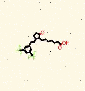 O=C(O)CCCCCCC1C(=O)CCC1/C=C/c1cc(C(F)(F)F)cc(C(F)(F)F)c1